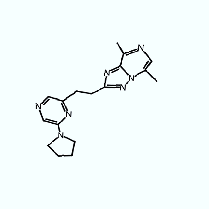 Cc1ncc(C)n2nc(CCc3cncc(N4CCCC4)n3)nc12